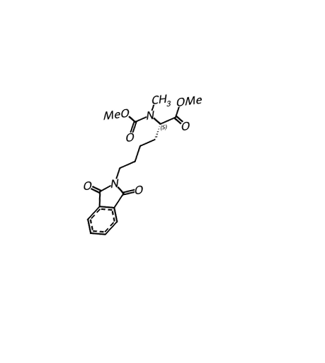 COC(=O)[C@H](CCCCN1C(=O)c2ccccc2C1=O)N(C)C(=O)OC